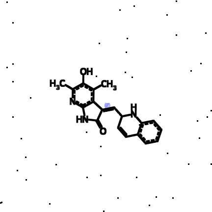 Cc1nc2c(c(C)c1O)/C(=C/C1C=Cc3ccccc3N1)C(=O)N2